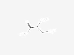 CCCCCCCC(=O)C(CC(=O)OCC)C(=O)OCC